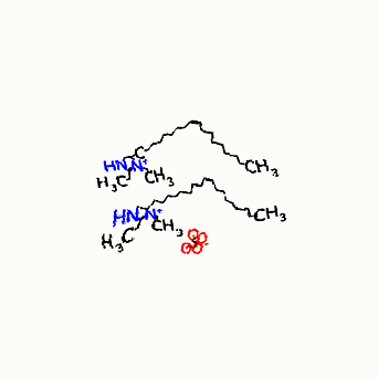 CCCCCCCC/C=C\CCCCCCCCC1CNC(CC)=[N+]1CC.CCCCCCCC/C=C\CCCCCCCCC1CNC(CC)=[N+]1CC.O=S(=O)([O-])[O-]